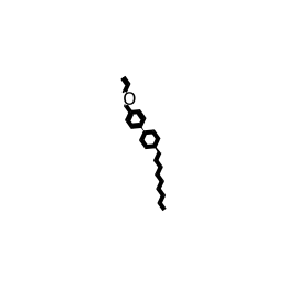 C=CCOCc1ccc([C@H]2CC[C@H](CCCCCCCCC)CC2)cc1